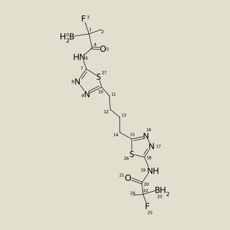 BC(C)(F)C(=O)Nc1nnc(CCCCc2nnc(NC(=O)C(B)(C)F)s2)s1